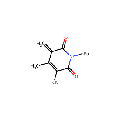 C=C1C(=O)N(CCCC)C(=O)C(C#N)=C1C